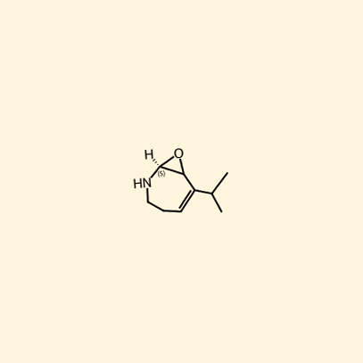 CC(C)C1=CCCN[C@H]2OC12